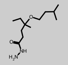 CCC(C)(CCC(=O)NN)OCCC(C)C